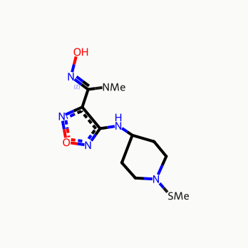 CN/C(=N\O)c1nonc1NC1CCN(SC)CC1